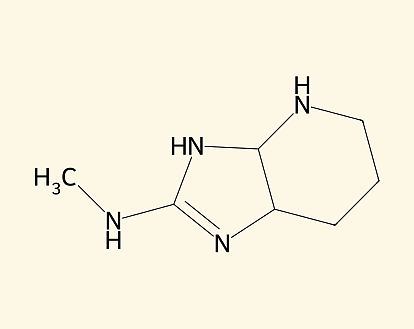 CNC1=NC2CCCNC2N1